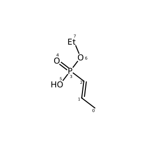 CC=CP(=O)(O)OCC